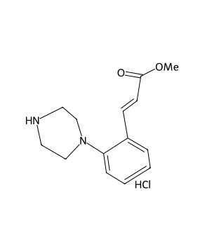 COC(=O)/C=C/c1ccccc1N1CCNCC1.Cl